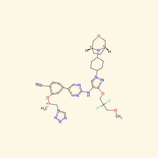 COCC(F)(F)COc1nn(C2CCC(N3[C@@H]4CC[C@H]3COC4)CC2)cc1Nc1ncc(-c2ccc(C#N)c(O[C@@H](C)Cn3cnnn3)c2)cn1